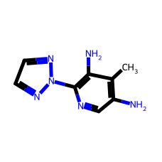 Cc1c(N)cnc(-n2nccn2)c1N